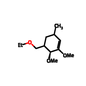 CCOCC1CC(C)C=C(OC)[C@H]1OC